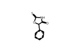 O=C1NC(=S)OC1c1ccccc1